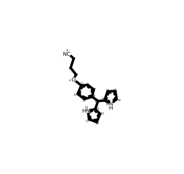 N#CCCCOc1ccc(C(c2ccc[nH]2)c2ccc[nH]2)cc1